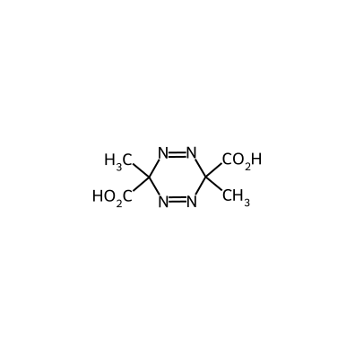 CC1(C(=O)O)N=NC(C)(C(=O)O)N=N1